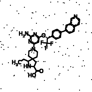 CCC1NC(C(=O)O)CC12CCN(c1cc(O[C@H](c3ccc(-c4ccc5ccncc5c4)cc3)C(F)(F)F)nc(N)n1)CC2